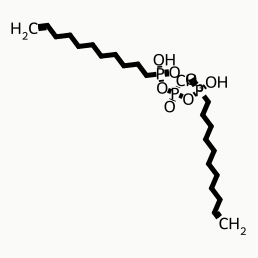 C=CCCCCCCCCCP(=O)(O)OP(C)(=O)OP(=O)(O)CCCCCCCCCC=C